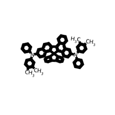 Cc1ccc(N(c2ccccc2)c2ccc3c4c(ccc3c2)-c2c(c3ccc(N(c5ccccc5)c5ccc(C)c(C)c5)cc3c3ccccc23)C42c3ccccc3-c3ccccc32)cc1C